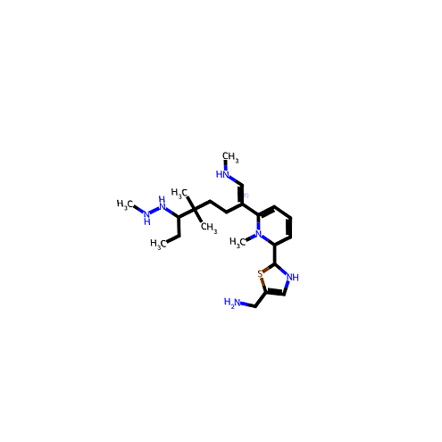 CCC(NNC)C(C)(C)CC/C(=C\NC)C1=CC=CC(C2NC=C(CN)S2)N1C